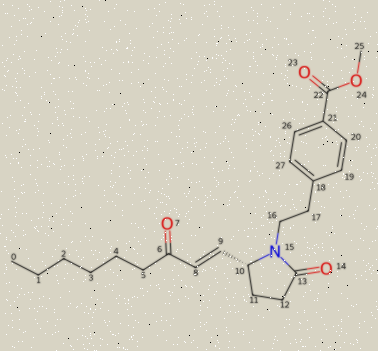 CCCCCCC(=O)/C=C/[C@H]1CCC(=O)N1CCc1ccc(C(=O)OC)cc1